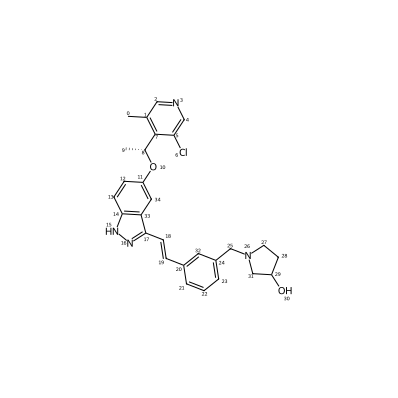 Cc1cncc(Cl)c1[C@@H](C)Oc1ccc2[nH]nc(/C=C/c3cccc(CN4CCC(O)C4)c3)c2c1